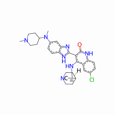 CN1CCC(N(C)c2ccc3[nH]c(-c4c(N[C@@H]5CN6CCC5CC6)c5cc(Cl)ccc5[nH]c4=O)nc3c2)CC1